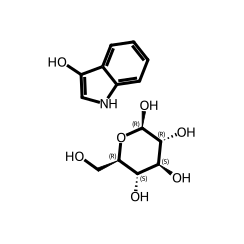 OC[C@H]1O[C@@H](O)[C@H](O)[C@@H](O)[C@@H]1O.Oc1c[nH]c2ccccc12